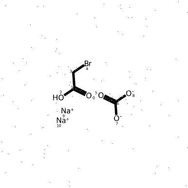 O=C(O)CBr.O=C([O-])[O-].[Na+].[Na+]